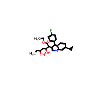 C=CC(O)CC(O)C(C(=O)OCC)c1cnc2cc(C3CC3)ccc2c1-c1ccc(F)cc1